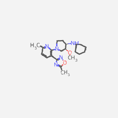 CO[C@H]1CN(c2nc(C)ccc2-c2noc(C)n2)CC[C@H]1NC1CCCCC1